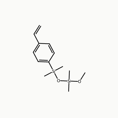 C=Cc1ccc([Si](C)(C)O[Si](C)(C)OC)cc1